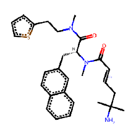 CN(CCc1cccs1)C(=O)[C@@H](Cc1ccc2ccccc2c1)N(C)C(=O)/C=C/CC(C)(C)N